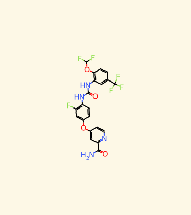 NC(=O)c1cc(Oc2ccc(NC(=O)Nc3cc(C(F)(F)F)ccc3OC(F)F)c(F)c2)ccn1